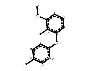 COc1cccc(Oc2ccc(C)cn2)c1C